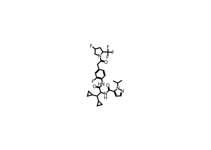 CC(C)n1nccc1C(=O)NC(C(=O)Nc1ccc(CC(=O)N2CC(F)CC2C(F)(F)F)cc1F)C(C1CC1)C1CC1